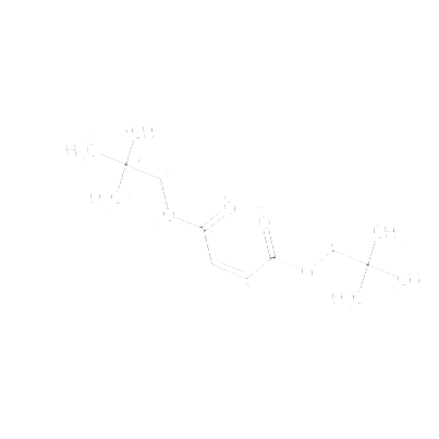 CC(C)(C)COC(=O)/C=C\C(=O)OCC(C)(C)C